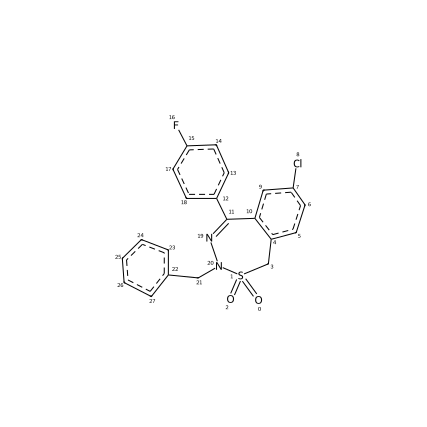 O=S1(=O)Cc2ccc(Cl)cc2C(c2ccc(F)cc2)=NN1Cc1ccccc1